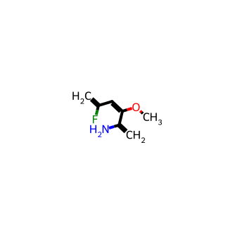 C=C(F)/C=C(/OC)C(=C)N